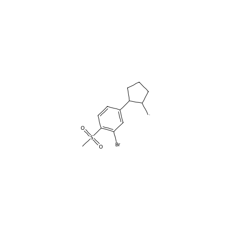 [CH2]C1CCCC1c1ccc(S(C)(=O)=O)c(Br)c1